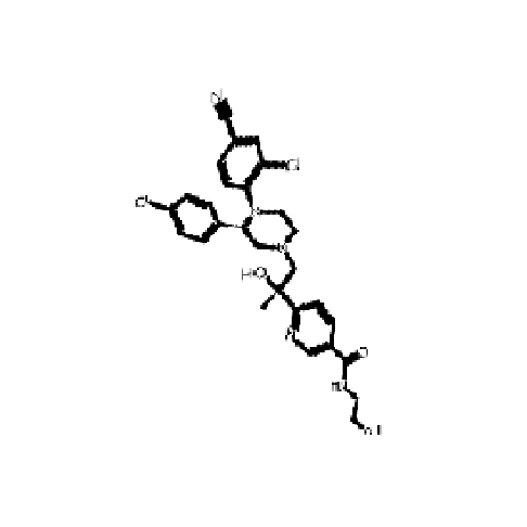 C[C@@](O)(CN1CCN(c2ccc(C#N)cc2Cl)[C@H](c2ccc(Cl)cc2)C1)c1ccc(C(=O)NCCO)cn1